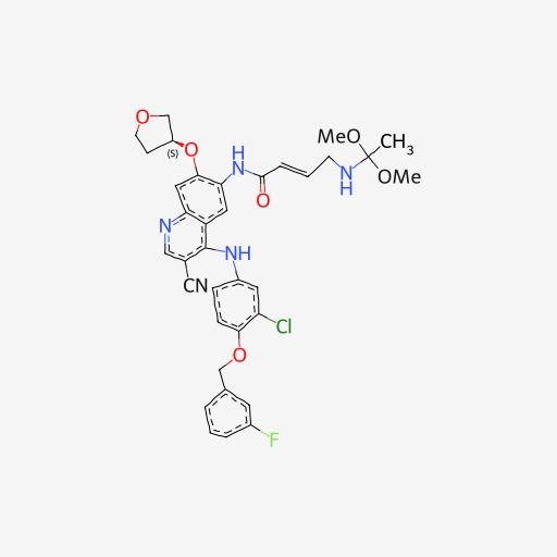 COC(C)(NCC=CC(=O)Nc1cc2c(Nc3ccc(OCc4cccc(F)c4)c(Cl)c3)c(C#N)cnc2cc1O[C@H]1CCOC1)OC